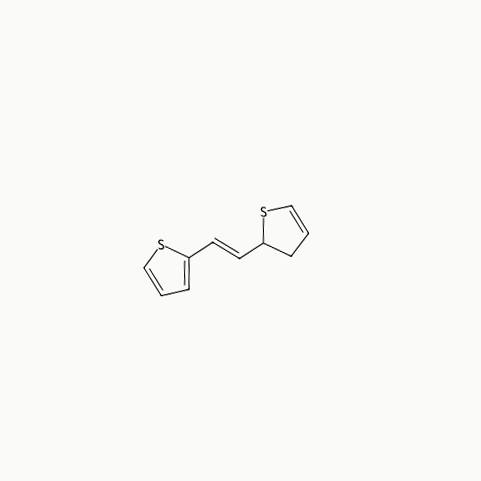 C1=CSC(/C=C/c2cccs2)C1